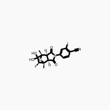 C[C@@]12O[C@@](C)([C@H]3C(=O)N(c4ccc(C#N)c(I)c4)C(=O)[C@H]31)C(O)(O)[C@@H]2F